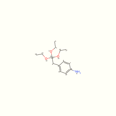 CCO[Si](Cc1ccc(N)cc1)(OCC)OCC